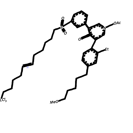 CCc1cc(CCCCCOC)ccc1-c1cn(OC(C)=O)cc(-c2cccc(S(=O)(=O)CCCCC/C=C/CCCCC(Cl)(Cl)Cl)c2)c1=O